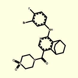 O=C(c1cnc(Nc2ccc(F)c(Br)c2)c2c1C1CCC2CC1)N1CCS(=O)(=O)CC1